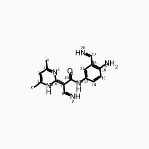 CC1=CC(C)=N/C(=C(/C=N)C(=O)Nc2ccc(N)c(C=N)c2)N1